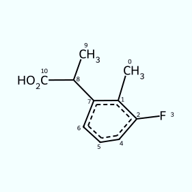 Cc1c(F)cccc1C(C)C(=O)O